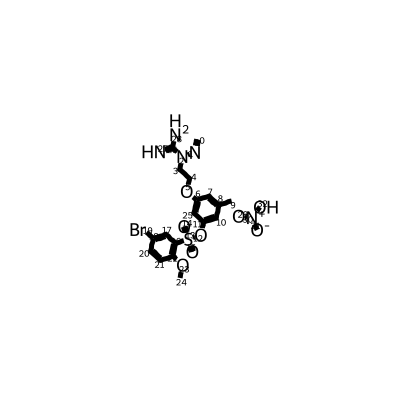 C=NN(CCOc1cc(C)cc(OS(=O)(=O)c2cc(Br)ccc2OC)c1)C(=N)N.O=[N+]([O-])O